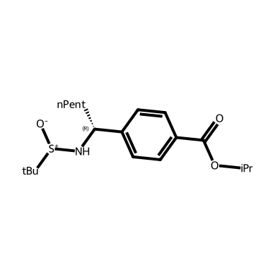 CCCCC[C@@H](N[S+]([O-])C(C)(C)C)c1ccc(C(=O)OC(C)C)cc1